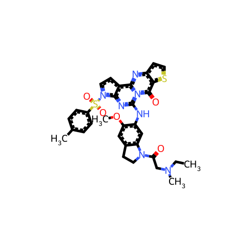 CCN(C)CC(=O)N1CCc2cc(OC)c(Nc3nc4c(ccn4S(=O)(=O)c4ccc(C)cc4)c4nc5ccsc5c(=O)n34)cc21